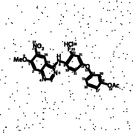 COc1cc2ncnc(Nc3ccc(Oc4cccc(OC(C)=O)c4)cc3F)c2cc1[N+](=O)[O-].Cl